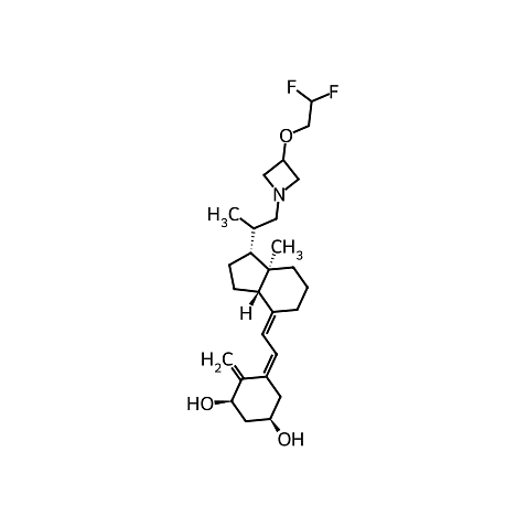 C=C1/C(=C\C=C2/CCC[C@]3(C)[C@@H](C(C)CN4CC(OCC(F)F)C4)CC[C@@H]23)C[C@@H](O)C[C@H]1O